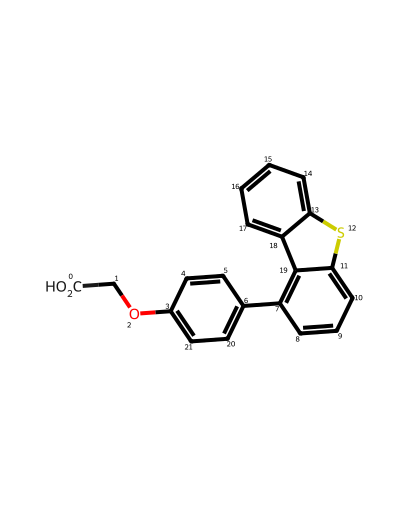 O=C(O)COc1ccc(-c2cccc3sc4ccccc4c23)cc1